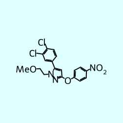 COCCn1nc(Oc2ccc([N+](=O)[O-])cc2)cc1-c1ccc(Cl)c(Cl)c1